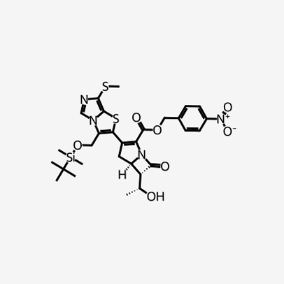 CSc1ncn2c(CO[Si](C)(C)C(C)(C)C)c(C3=C(C(=O)OCc4ccc([N+](=O)[O-])cc4)N4C(=O)[C@H]([C@@H](C)O)[C@H]4C3)sc12